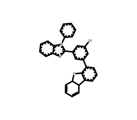 CCc1cc(-c2cccc3c2OC2C=CC=CC32)cc(-c2nc3ccccc3n2-c2ccccc2)c1